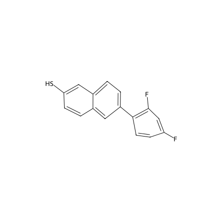 Fc1ccc(-c2ccc3cc(S)ccc3c2)c(F)c1